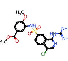 COC(=O)c1ccc(OC)c(NS(=O)(=O)c2ccc3c(Cl)cnc(NC(=N)N)c3c2)c1